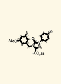 CCOC(=O)c1nn(-c2ccc(Br)cc2)c(=O)n1Cc1cc(F)cc(OC)c1